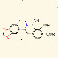 COc1ccc2c(c1OC)C(C#N)N1CCc3cc4c(cc3C1=C2)OCO4